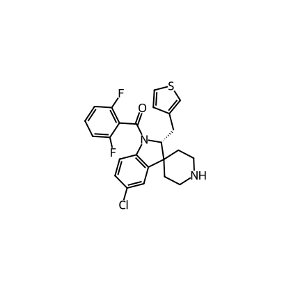 O=C(c1c(F)cccc1F)N1c2ccc(Cl)cc2C2(CCNCC2)[C@H]1Cc1ccsc1